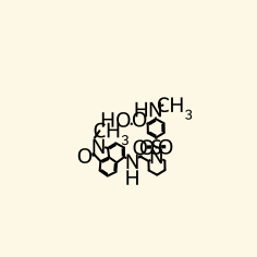 CCN1C(=O)c2cccc3c(NC(=O)C4CCCCN4S(=O)(=O)c4ccc(NC)c(OCO)c4)ccc1c23